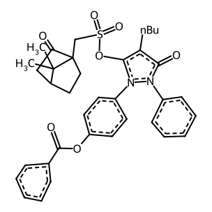 CCCCc1c(OS(=O)(=O)CC23CCC(CC2=O)C3(C)C)n(-c2ccc(OC(=O)c3ccccc3)cc2)n(-c2ccccc2)c1=O